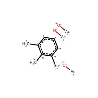 CC(=O)[O-].CC(=O)[O-].CC(=O)[O-].Cc1ccc[c]([Sn+3])c1C